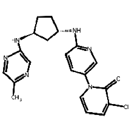 Cc1cnc(N[C@H]2CC[C@H](Nc3ccc(-n4cccc(Cl)c4=O)cn3)C2)cn1